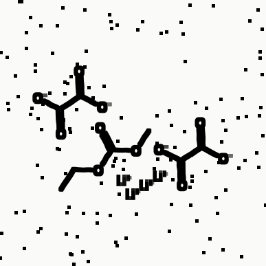 CCOC(=O)OC.O=C([O-])C(=O)[O-].O=C([O-])C(=O)[O-].[Li+].[Li+].[Li+].[Li+]